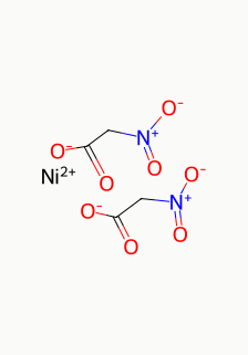 O=C([O-])C[N+](=O)[O-].O=C([O-])C[N+](=O)[O-].[Ni+2]